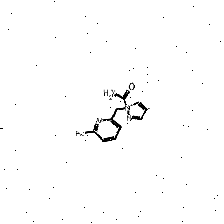 CC(=O)c1cccc(C[N+]2(C(N)=O)C=[C]C=N2)n1